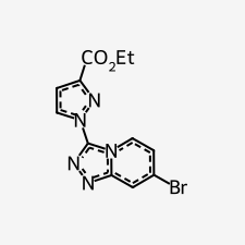 CCOC(=O)c1ccn(-c2nnc3cc(Br)ccn23)n1